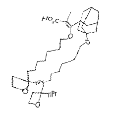 CCCC1(CCCCCCCOC(=C(C)C(=O)O)C23CC4CC(CC(OCCCCCCCC5(CCC)CCO5)(C4)C2)C3)CCO1